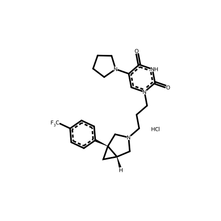 Cl.O=c1[nH]c(=O)n(CCCN2C[C@@H]3C[C@]3(c3ccc(C(F)(F)F)cc3)C2)cc1N1CCCC1